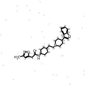 Cc1cc(CC(=O)NC2CCC(CCN3CCC(c4coc5ccccc45)CC3)CC2)on1